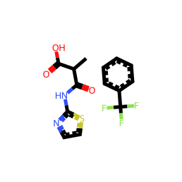 CC(C(=O)O)C(=O)Nc1nccs1.FC(F)(F)c1ccccc1